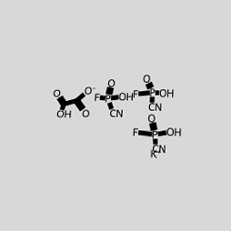 N#CP(=O)(O)F.N#CP(=O)(O)F.N#CP(=O)(O)F.O=C([O-])C(=O)O.[K+]